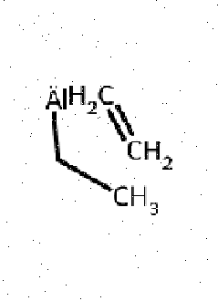 C=C.C[CH2][Al]